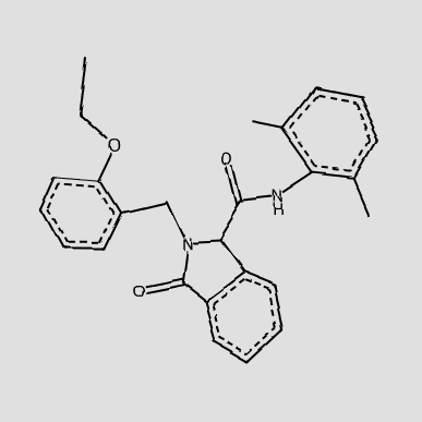 CCOc1ccccc1CN1C(=O)c2ccccc2C1C(=O)Nc1c(C)cccc1C